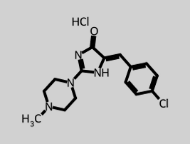 CN1CCN(C2=NC(=O)C(=Cc3ccc(Cl)cc3)N2)CC1.Cl